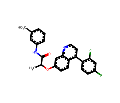 CC(Oc1ccc2c(-c3ccc(F)cc3Cl)ccnc2c1)C(=O)Nc1cccc(C(=O)O)c1